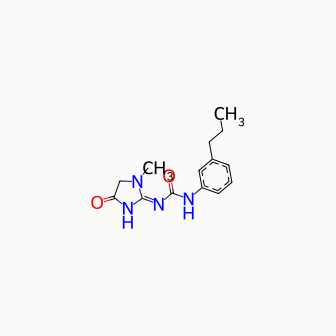 CCCc1cccc(NC(=O)N=C2NC(=O)CN2C)c1